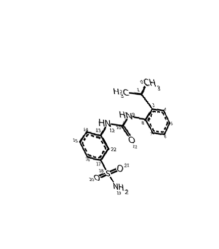 CC(C)c1ccccc1NC(=O)Nc1cccc(S(N)(=O)=O)c1